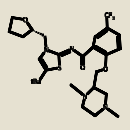 CN1CCN(C)C(COc2ccc(C(F)(F)F)cc2C(=O)/N=c2\sc(C(C)(C)C)cn2C[C@@H]2CCCO2)C1